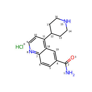 Cl.NC(=O)c1ccc2nccc(C3CCNCC3)c2c1